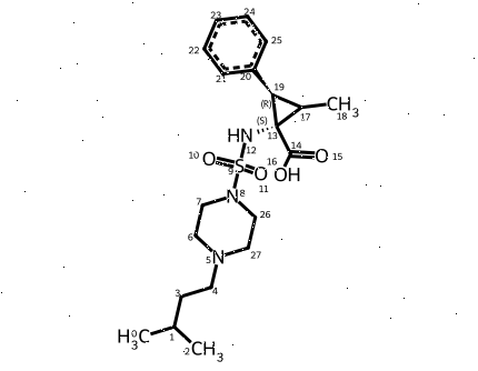 CC(C)CCN1CCN(S(=O)(=O)N[C@@]2(C(=O)O)C(C)[C@@H]2c2ccccc2)CC1